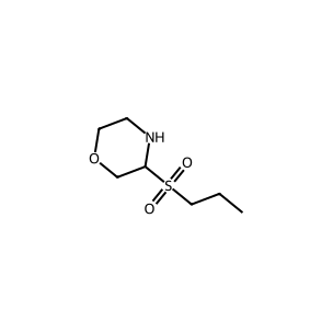 CCCS(=O)(=O)C1COCCN1